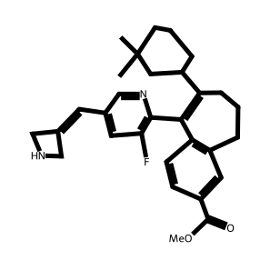 COC(=O)c1ccc2c(c1)CCCC(C1CCCC(C)(C)C1)=C2c1ncc(C=C2CNC2)cc1F